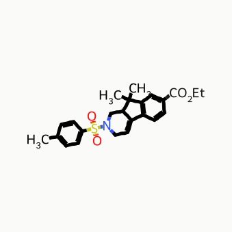 CCOC(=O)c1ccc2c(c1)C(C)(C)C1CN(S(=O)(=O)c3ccc(C)cc3)CC=C21